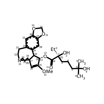 CC[C@](O)(CCCC(C)(C)O)C(=O)O[C@@H]1C(OC)=C[C@]23CCCN2CCc2cc4c(cc2C13)OCO4